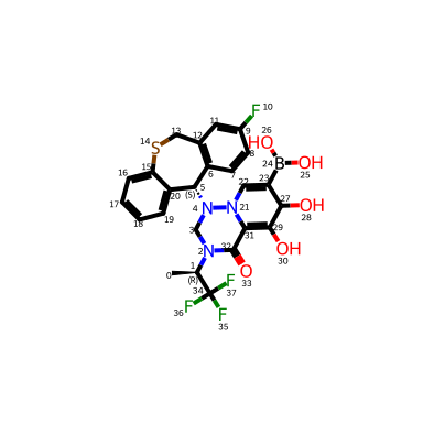 C[C@@H](N1CN([C@H]2c3ccc(F)cc3CSc3ccccc32)N2C=C(B(O)O)C(O)C(O)=C2C1=O)C(F)(F)F